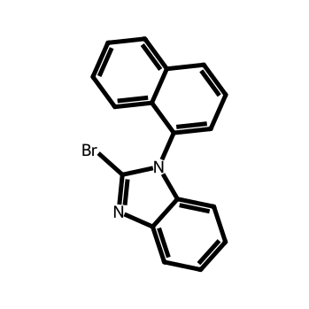 Brc1nc2ccccc2n1-c1cccc2ccccc12